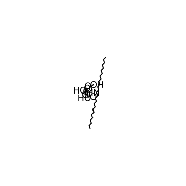 CCCCCCCCCCCCCNCCCCCCCCCCCCC.O=C(O)CC(C(=O)O)S(=O)(=O)O